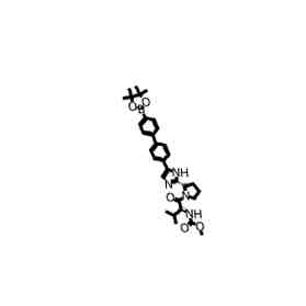 COC(=O)N[C@H](C(=O)N1CCC[C@H]1c1ncc(-c2ccc(-c3ccc(B4OC(C)(C)C(C)(C)O4)cc3)cc2)[nH]1)C(C)C